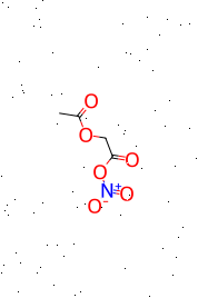 CC(=O)OCC(=O)O[N+](=O)[O-]